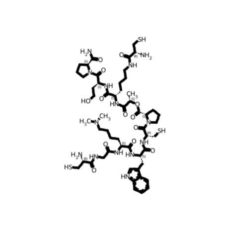 C[C@H](OC(=O)[C@@H]1CCCN1C(=O)[C@H](CS)NC(=O)[C@H](Cc1c[nH]c2ccccc12)NC(=O)[C@H](CCCCN(C)C)NC(=O)CNC(=O)[C@@H](N)CS)C(=O)N[C@@H](CCCCNC(=O)[C@@H](N)CS)C(=O)N[C@@H](CCO)C(=O)N1CCC[C@H]1C(N)=O